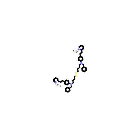 C[n+]1ccccc1/C=C/c1ccc(N(CCCCSSCCCCN(Cc2ccccc2)c2ccc(/C=C/c3cccc[n+]3C)cc2)Cc2ccccc2)cc1